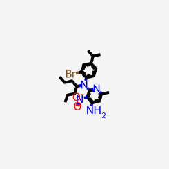 CCCC(CCC)N(c1ccc(C(C)C)cc1Br)c1nc(C)cc(N)c1[N+](=O)[O-]